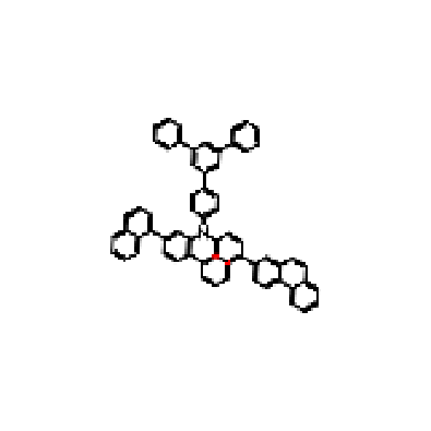 c1ccc(-c2cc(-c3ccccc3)cc(-c3ccc(N(c4ccc(-c5ccc6c(ccc7ccccc76)c5)cc4)c4cc(-c5cccc6ccccc56)ccc4-c4ccccc4)cc3)c2)cc1